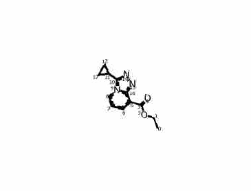 CCOC(=O)c1cccn2c(C3CC3)nnc12